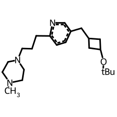 CN1CCN(CCCc2ccc(CC3CC(OC(C)(C)C)C3)cn2)CC1